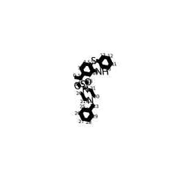 CC(c1ccc2c(c1)Nc1ccccc1S2)S(=O)(=O)N1CCN(Cc2ccccc2)CC1